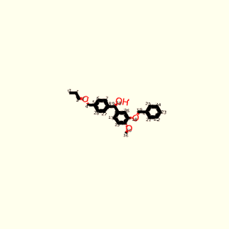 CCCOCc1ccc(C(O)c2ccc(OC)c(OCc3ccccc3)c2)cc1